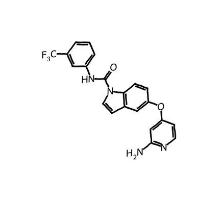 Nc1cc(Oc2ccc3c(ccn3C(=O)Nc3cccc(C(F)(F)F)c3)c2)ccn1